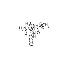 CC(NC(=O)[C@@H]1C[C@@H](S(C)(=O)=O)CN1C(=O)CNC(=O)c1ccc2cc3ccccc3cc2c1)c1cc(C(=N)N)cs1